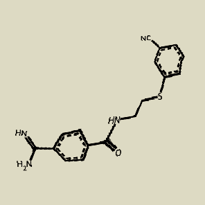 N#Cc1cccc(SCCNC(=O)c2ccc(C(=N)N)cc2)c1